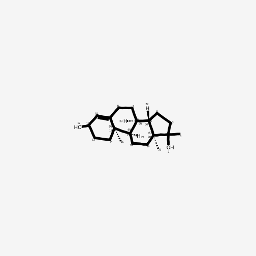 CC1(O)CC[C@H]2[C@@H]3CCC4=CC(O)CC[C@]4(C)[C@@H]3CC[C@@]21C